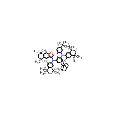 Cc1cc2c(cc1N1c3cc(C(C)(C)C)ccc3B3c4oc5cc6c(cc5c4N(c4ccc5c(c4)C(C)(C)CCC5(C)C)c4cc(C57CC8CC(CC(C8)C5)C7)cc1c43)C(C)(C)CCC6(C)C)C(C)(C)CCC2(C)C